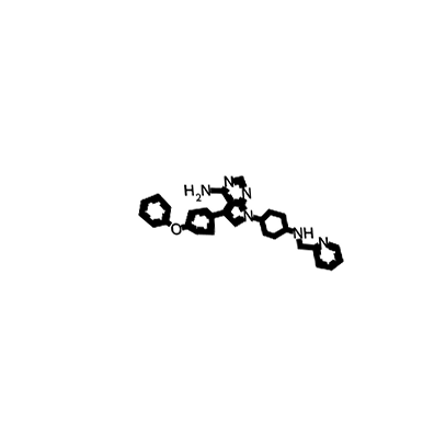 Nc1ncnc2c1c(-c1ccc(Oc3ccccc3)cc1)cn2C1CCC(NCc2ccccn2)CC1